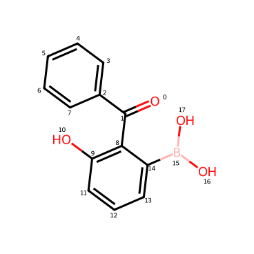 O=C(c1ccccc1)c1c(O)cccc1B(O)O